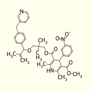 C=C(C)C(OCC(C)(C)COC(=O)C1=C(C)NC(C)=C(C(=O)OC)C1c1cccc([N+](=O)[O-])c1)c1ccc(Cc2cccnc2)cc1